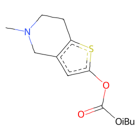 CC(C)COC(=O)Oc1cc2c(s1)CCN(C)C2